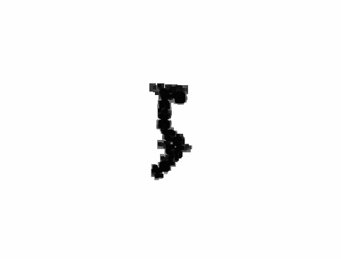 Cc1ncsc1-c1ccc([C@H](C)NC(=O)[C@@H]2C[C@@H](O)CN2C(=O)C(c2cc(N3CCC(CN4CCC(c5cnc(N6CCC(n7nc(N)c(N)c7/C=C(\N)c7ccccc7O)CC6)nc5)CC4)CC3)no2)C(C)C)cc1